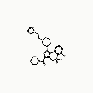 O=C(c1nn(C2CCCN(CCn3cccn3)C2)c2c1CS(=O)(=O)c1c(F)cccc1-2)N1CCOCC1